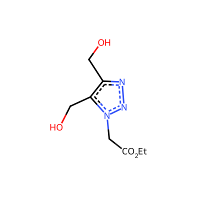 CCOC(=O)Cn1nnc(CO)c1CO